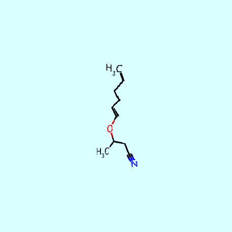 CCCCC=COC(C)CC#N